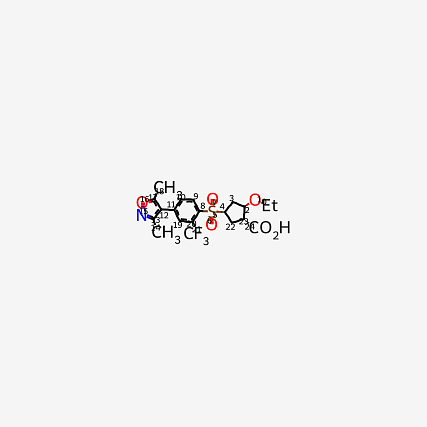 CCO[C@@H]1C[C@H](S(=O)(=O)c2ccc(-c3c(C)noc3C)cc2C(F)(F)F)C[C@H]1C(=O)O